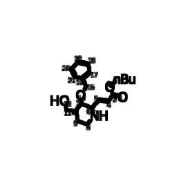 CCCCOC(=O)C=CC1NCCC(CO)C1OCc1ccccc1